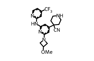 COC1CN(c2cc(C3(C#N)CCNCC3)cc(Nc3cc(C(F)(F)F)ccn3)n2)C1